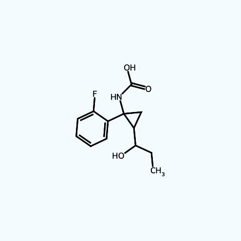 CCC(O)C1CC1(NC(=O)O)c1ccccc1F